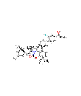 COC(=O)c1ccc(-c2ccc(OC)c(C3=C(CN4C(=O)O[C@H](c5cc(C(F)(F)F)cc(C(F)(F)F)c5)[C@@H]4C)CC(C)(C)CC3)c2)c(F)c1